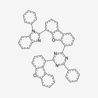 c1ccc(-c2nc(-c3cccc4c3oc3c(-c5nc6ccccc6n5-c5ccccc5)cccc34)nc(-c3cccc4oc5ccccc5c34)n2)cc1